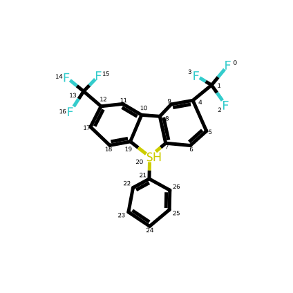 FC(F)(F)c1ccc2c(c1)-c1cc(C(F)(F)F)ccc1[SH]2c1ccccc1